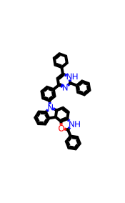 C1=CCCC(C2=CC(c3cccc(N4c5ccccc5C5C6=C(C=CC54)NC(c4ccccc4)O6)c3)=NC(c3ccccc3)N2)=C1